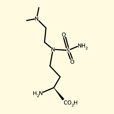 CN(C)CCN(CC[C@H](N)C(=O)O)S(N)(=O)=O